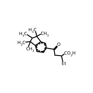 CCC(CC(=O)c1ccc2c(c1)C(C)(C)C(C)C2(C)C)C(=O)O